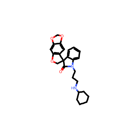 O=C1N(CCCNC2CCCCC2)c2ccccc2C12COc1cc3c(cc12)OCO3